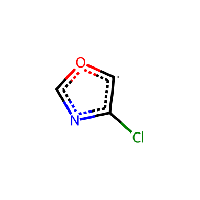 Clc1[c]ocn1